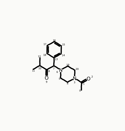 CC(=O)N1CCN(C(C(=O)C(C)C)c2ccccc2)CC1